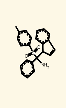 Cc1ccc(S(=O)(=O)C(N)(c2ccccc2)C2C=Cc3ccccc32)cc1